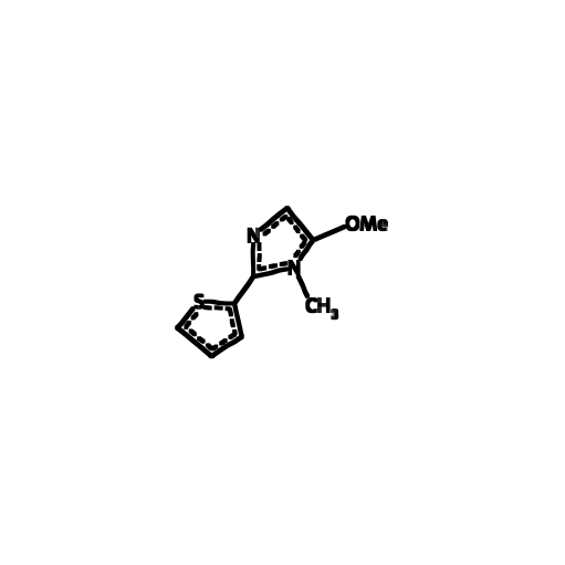 COc1cnc(-c2cccs2)n1C